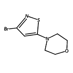 Brc1cc(N2CCOCC2)sn1